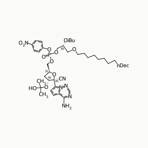 CCCCCCCCCCCCCCCCCCOC[C@H](COP(=O)(OC[C@@H]1C[C@@H](OC(C)(C)O)[C@](C#N)(c2ccc3c(N)ncnn23)O1)Oc1ccc([N+](=O)[O-])cc1)OCC(C)C